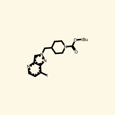 CC(C)(C)OC(=O)N1CCC(Cn2cc3nccc(I)c3n2)CC1